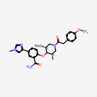 CO[C@H]1CN(C(=O)Cc2ccc(OC(F)(F)F)cc2)C[C@@H](C)C1Oc1ccc(-c2cn(C)cn2)cc1C(N)=O